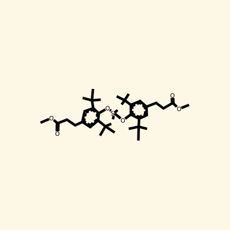 COC(=O)CCc1cc(C(C)(C)C)c(O[Si](C)(C)Oc2c(C(C)(C)C)cc(CCC(=O)OC)cc2C(C)(C)C)c(C(C)(C)C)c1